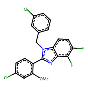 COc1cc(Cl)ccc1-c1nc2c(F)c(F)ccc2n1Cc1cccc(Cl)c1